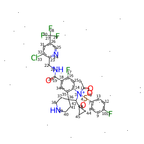 CC(=O)[N+]1(S(=O)(=O)c2ccc(F)cc2)c2cc(F)c(C(=O)NCc3ncc(C(F)(F)F)cc3Cl)cc2C2(CCNCC2)C1C1CC1